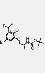 CC(COc1cc(Br)cn(C(F)F)c1=O)NC(=O)OC(C)(C)C